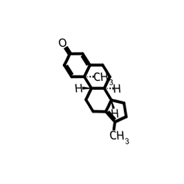 CC1=C2CC[C@H]3[C@@H](CCC4=CC(=O)C=C[C@@]43C)[C@@H]2CC1